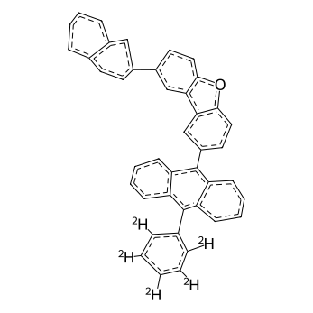 [2H]c1c([2H])c([2H])c(-c2c3ccccc3c(-c3ccc4oc5ccc(-c6ccc7ccccc7c6)cc5c4c3)c3ccccc23)c([2H])c1[2H]